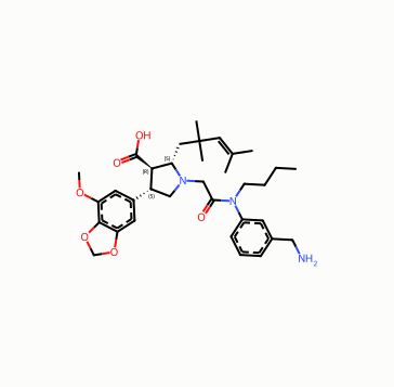 CCCCN(C(=O)CN1C[C@H](c2cc(OC)c3c(c2)OCO3)[C@@H](C(=O)O)[C@@H]1CC(C)(C)C=C(C)C)c1cccc(CN)c1